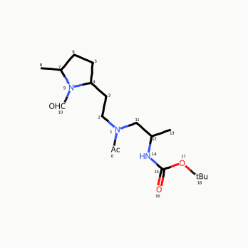 CC(=O)N(CCC1CCC(C)N1C=O)CC(C)NC(=O)OC(C)(C)C